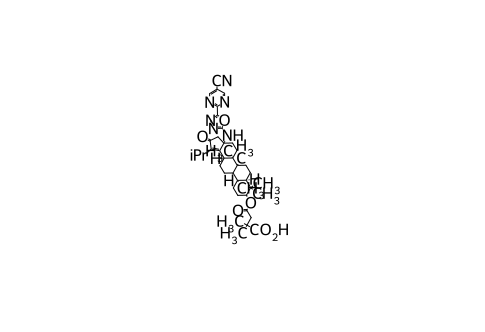 CC(C)C1=C2[C@H]3CC[C@@H]4[C@@]5(C)CC[C@H](OC(=O)CC(C)(C)C(=O)O)C(C)(C)[C@@H]5CC[C@@]4(C)[C@]3(C)CC[C@@]2(Nc2nnc(-c3ncc(C#N)cn3)o2)CC1=O